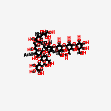 CC(=O)N[C@H]1[C@H](O[C@@H]2[C@H](O[C@]3(C(=O)O)C[C@H](O)[C@@H](NC(C)=O)[C@H]([C@H](O)[C@@H](CO)O[C@]4(C(=O)O)C[C@H](O)[C@@H](NC(C)=O)[C@H]([C@H](O)[C@H](O)CO)O4)O3)[C@@H](O)[C@H](O[C@H]3[C@H](O)[C@@H](O)[C@H](O)O[C@@H]3CO)O[C@@H]2CO)O[C@H](CO)[C@H](O)[C@@H]1O[C@@H]1O[C@H](CO)[C@H](O)[C@H](O[C@H]2O[C@H](CO)[C@H](O)[C@H](O[C@H]3O[C@H](CO)[C@H](O)[C@H](O)[C@H]3O)[C@H]2O)[C@H]1O